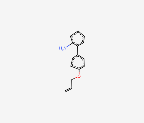 C=CCOc1ccc(-c2ccccc2N)cc1